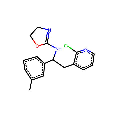 Cc1cccc(C(Cc2cccnc2Cl)NC2=NCCO2)c1